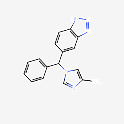 Cc1cn(C(c2ccccc2)c2ccc3[nH]nnc3c2)cn1